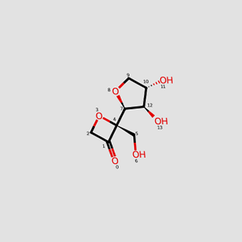 O=C1CO[C@]1(CO)[C@H]1OC[C@H](O)[C@H]1O